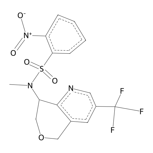 CN(C1COCc2cc(C(F)(F)F)cnc21)S(=O)(=O)c1ccccc1[N+](=O)[O-]